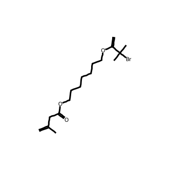 C=C(C)CC(=O)OCCCCCCCOC(=C)C(C)(C)Br